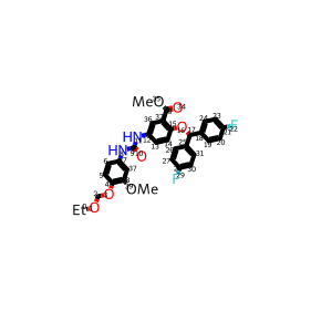 CCOCOc1ccc(NC(=O)Nc2ccc(OC(c3ccc(F)cc3)c3ccc(F)cc3)c(C(=O)OC)c2)cc1OC